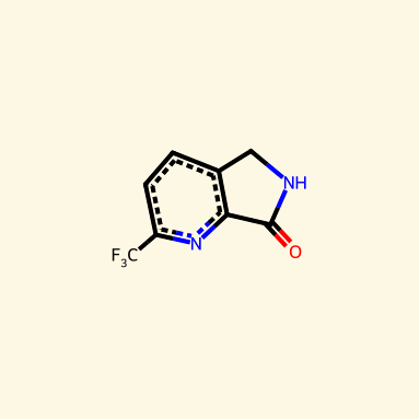 O=C1NCc2ccc(C(F)(F)F)nc21